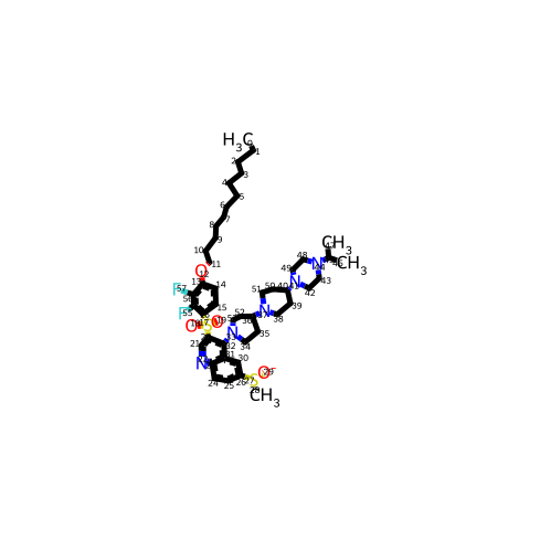 CCCCCCCCCCCCOc1ccc(S(=O)(=O)c2cnc3ccc([S+](C)[O-])cc3c2N2CCC(N3CCC(N4CCN(C(C)C)CC4)CC3)CC2)c(F)c1F